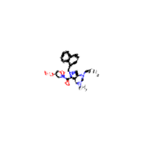 CCN1CN(C)Cc2c1cn(Cc1cccc3ccccc13)c2C(=O)N1CC(O)CO1